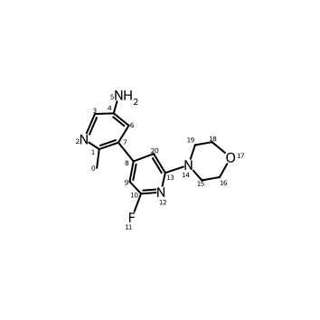 Cc1ncc(N)cc1-c1cc(F)nc(N2CCOCC2)c1